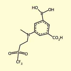 CN(CCS(=O)(=O)C(F)(F)F)c1cc(B(O)O)cc(C(=O)O)c1